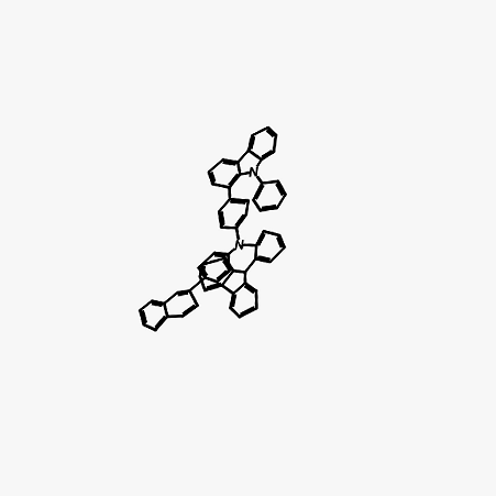 c1ccc(-n2c3ccccc3c3cccc(-c4ccc(N(c5ccc(-c6ccc7ccccc7c6)cc5)c5ccccc5C5c6ccccc6-c6ccccc65)cc4)c32)cc1